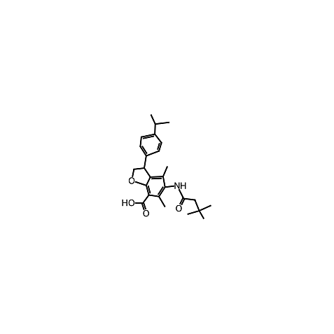 Cc1c(NC(=O)CC(C)(C)C)c(C)c2c(c1C(=O)O)OCC2c1ccc(C(C)C)cc1